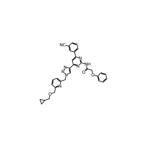 N#Cc1cccc(-c2cc(-c3cn(Cc4cccc(COCC5CC5)n4)nn3)nc(NC(=O)COc3ccccc3)n2)c1